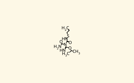 C=CCSNC(=O)N(C(=N)OC(C)C)C(N)=O